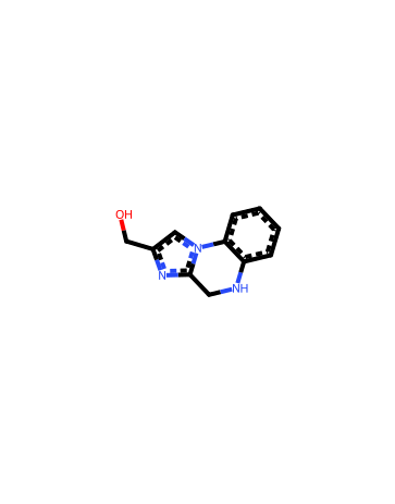 OCc1cn2c(n1)CNc1ccccc1-2